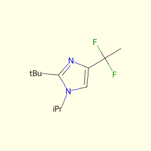 CC(C)n1cc(C(C)(F)F)nc1C(C)(C)C